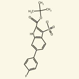 CC(C)(C)OC(=O)c1[nH]c2cc(-c3ccc(F)cc3)ccc2c1S(=O)(=O)Cl